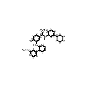 CNc1cc(-c2cccnc2Nc2cc(C(=O)Nc3cc(C4CCCCC4)ccc3OC)ccc2C)ccn1